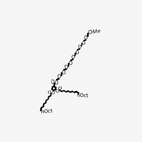 CCCCCCCC/C=C\CCCCCCCC(=O)Oc1ccc(C(=O)OCCOCCOCCOCCOCCOCCOCCOCCOCCOCCOC)cc1OC(=O)CCCCCCC/C=C\CCCCCCCC